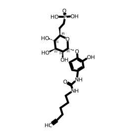 C#CCCCCNC(=O)Nc1ccc(O[C@H]2O[C@H](CCP(=O)(O)O)[C@@H](O)[C@H](O)[C@@H]2O)c(O)c1